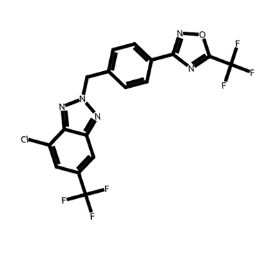 FC(F)(F)c1cc(Cl)c2nn(Cc3ccc(-c4noc(C(F)(F)F)n4)cc3)nc2c1